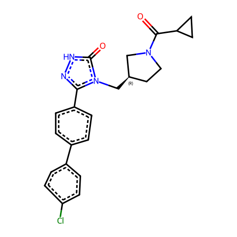 O=C(C1CC1)N1CC[C@@H](Cn2c(-c3ccc(-c4ccc(Cl)cc4)cc3)n[nH]c2=O)C1